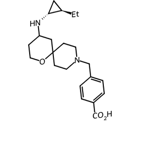 CC[C@@H]1C[C@H]1NC1CCOC2(CCN(Cc3ccc(C(=O)O)cc3)CC2)C1